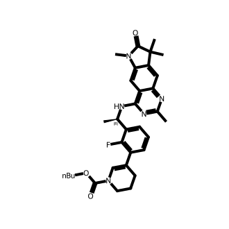 CCCCOC(=O)N1C=C(c2cccc([C@@H](C)Nc3nc(C)nc4cc5c(cc34)N(C)C(=O)C5(C)C)c2F)CCC1